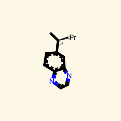 CC(C)[C@H](C)c1ccc2nccnc2c1